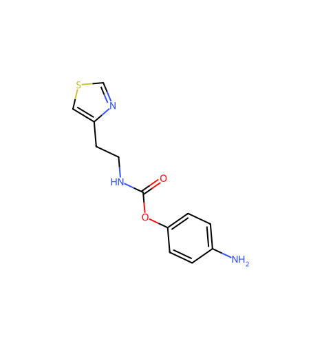 Nc1ccc(OC(=O)NCCc2cscn2)cc1